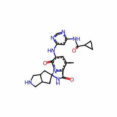 Cc1cc(Nc2cc(NC(=O)C3CC3)ncn2)c(=O)n2c1C(=O)NC21CC2CNCC2C1